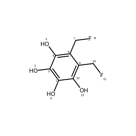 Oc1c(O)c(O)c(CF)c(CF)c1O